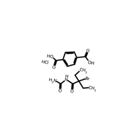 CCC(Br)(CC)C(=O)NC(N)=O.Cl.O=C(O)c1ccc(C(=O)O)cc1